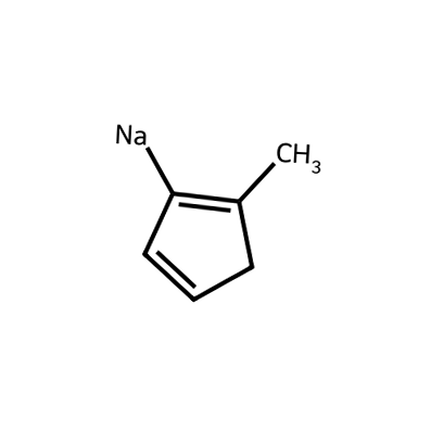 CC1=[C]([Na])C=CC1